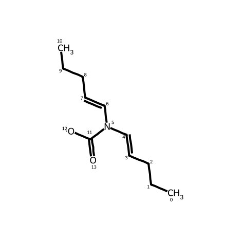 CCC/C=C/N(/C=C/CCC)C([O])=O